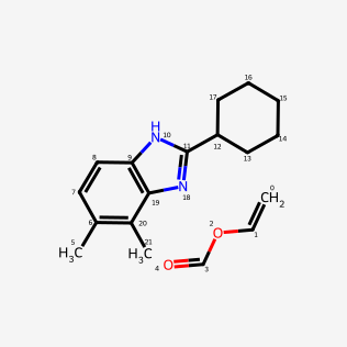 C=COC=O.Cc1ccc2[nH]c(C3CCCCC3)nc2c1C